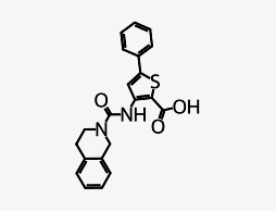 O=C(O)c1sc(-c2ccccc2)cc1NC(=O)N1CCc2ccccc2C1